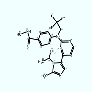 Cc1ncc(-c2ccnc(N(CC(F)(F)F)c3ccc(C(=O)NO)cc3)n2)n1C(C)C